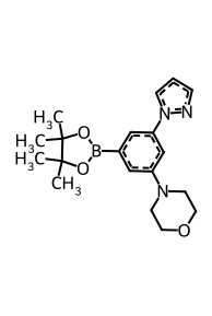 CC1(C)OB(c2cc(N3CCOCC3)cc(-n3cccn3)c2)OC1(C)C